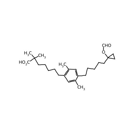 Cc1cc(CCCCCC(C)(C)C(=O)O)c(C)cc1CCCCCC1(OC=O)CC1